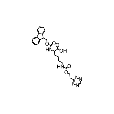 O=C(NCCCCC(NC(=O)OCC1c2ccccc2-c2ccccc21)C(=O)O)OCCc1nncnn1